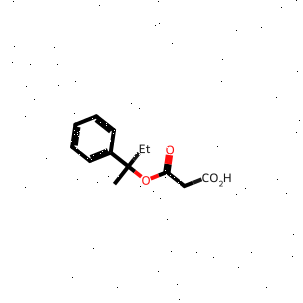 CCC(C)(OC(=O)CC(=O)O)c1ccccc1